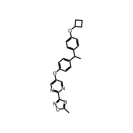 Cc1nc(-c2ncc(Oc3ccc(C(C)c4ccc(OC5CCC5)cc4)cc3)cn2)no1